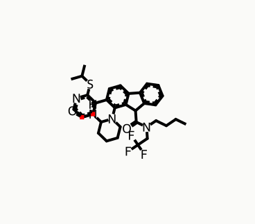 CCCCN(CC(F)(F)F)C(=O)C1c2ccccc2-c2ccc(-c3cccnc3SC(C)C)c(N3CCCCC3NC=O)c21